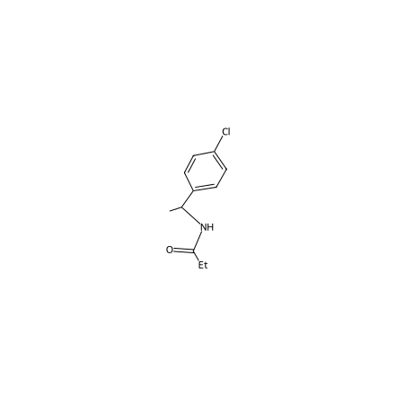 CCC(=O)NC(C)c1ccc(Cl)cc1